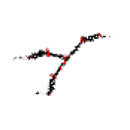 CCCCCCCOc1ccc(-c2ccc(C=CC(=O)OCCCCCCCCCCOCC(COCCCCCCCCCCOC(=O)C=Cc3ccc(-c4ccc(OCCCCCCC)cc4)cc3)OCCCCCCCCCCOC(=O)C=Cc3ccc(-c4ccc(OCCCCCCC)cc4)cc3)cc2)cc1